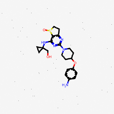 Nc1ccc(OC2CCN(c3nc4c(c(NC5(CO)CC5)n3)[S+]([O-])CC4)CC2)cc1